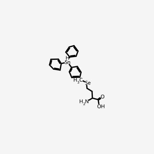 C[Se]CCC(N)C(=O)O.c1cc[c]([SnH]([c]2ccccc2)[c]2ccccc2)cc1